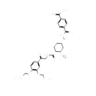 N=C(N)c1ccc(C(=O)NC[C@H]2CC[C@H](C(=O)NCC(=O)c3ccc(OCC(=O)[O-])c(OCC(=O)[O-])c3)CC2)cc1.[Na+].[Na+]